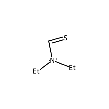 CC[N+](C=S)CC